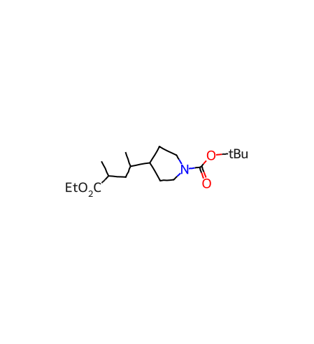 CCOC(=O)C(C)CC(C)C1CCN(C(=O)OC(C)(C)C)CC1